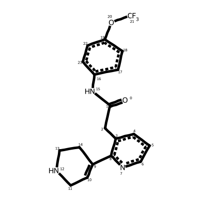 O=C(Cc1cccnc1C1=CCNCC1)Nc1ccc(OC(F)(F)F)cc1